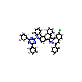 Fc1ccc2cc(-c3ccccc3)n3nc(-c4ccc5c(c4)c4ccccc4n5-c4nc(-c5ccccc5)nc(-c5ccccc5)n4)c(-c4ccccc4)c3c2c1